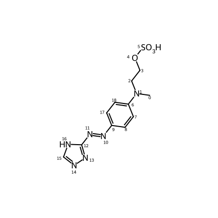 CN(CCOS(=O)(=O)O)c1ccc(N=Nc2nnc[nH]2)cc1